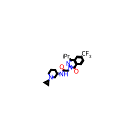 CC(C)c1nn(CC(=O)N[C@@H]2CCCN(C3CC3)C2)c(=O)c2ccc(C(F)(F)F)cc12